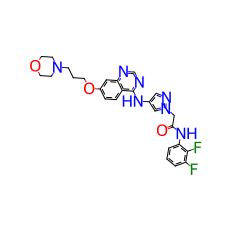 O=C(Cn1cc(Nc2ncnc3cc(OCCCN4CCOCC4)ccc23)cn1)Nc1cccc(F)c1F